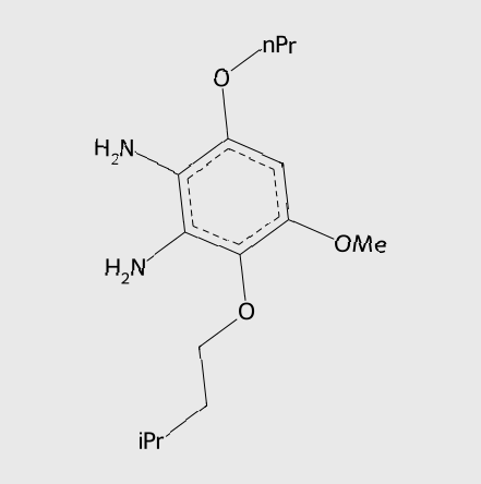 CCCOc1cc(OC)c(OCCC(C)C)c(N)c1N